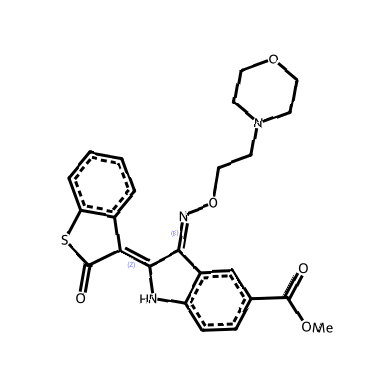 COC(=O)c1ccc2c(c1)C(=N\OCCN1CCOCC1)/C(=C1/C(=O)Sc3ccccc31)N2